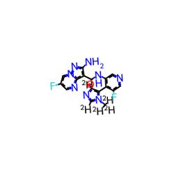 [2H]c1nc([2H])n(C([2H])([2H])[2H])c1-c1c(F)cncc1NC(=O)c1c(N)nn2cc(F)cnc12